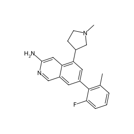 Cc1cccc(F)c1-c1cc(C2CCN(C)C2)c2cc(N)ncc2c1